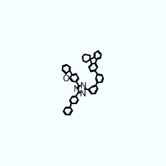 c1ccc(-c2ccc(-c3nc(-c4cccc(-c5cccc(-c6ccc7c(c6)-c6ccccc6C76CCCCC6)c5)c4)nc(-c4ccc5c(c4)oc4ccccc45)n3)cc2)cc1